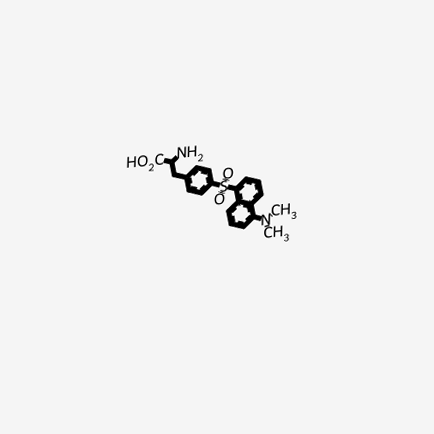 CN(C)c1cccc2c(S(=O)(=O)c3ccc(CC(N)C(=O)O)cc3)cccc12